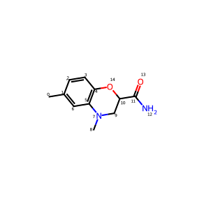 Cc1[c]cc2c(c1)N(C)CC(C(N)=O)O2